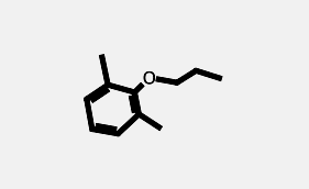 CCCOc1c(C)cccc1C